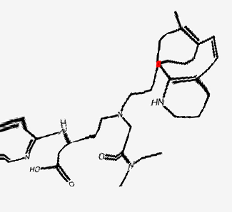 C/C1=C(CCCCN(CC[C@H](Nc2ccncn2)C(=O)O)CC(=O)N(C)C)\C=C/C2=C(CC1)NCCC2